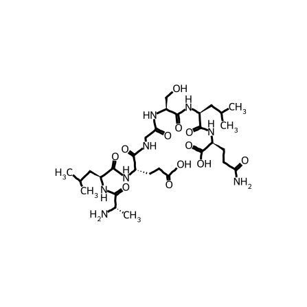 CC(C)C[C@H](NC(=O)[C@H](C)N)C(=O)N[C@@H](CCC(=O)O)C(=O)NCC(=O)N[C@@H](CO)C(=O)N[C@@H](CC(C)C)C(=O)N[C@@H](CCC(N)=O)C(=O)O